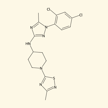 Cc1nsc(N2CCC(Nc3nc(C)n(-c4ccc(Cl)cc4Cl)n3)CC2)n1